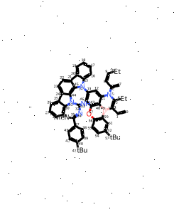 C=CC1=C(CC)N(C(=C)/C=C\CC)c2cc(-n3c4ccccc4c4ccc5c6ccccc6n(C(=N)/N=C(\NC)c6ccc(C(C)(C)C)cc6)c5c43)cc3c2B1c1cc(C(C)(C)C)ccc1O3